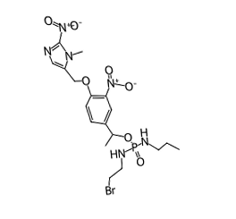 CCCNP(=O)(NCCBr)OC(C)c1ccc(OCc2cnc([N+](=O)[O-])n2C)c([N+](=O)[O-])c1